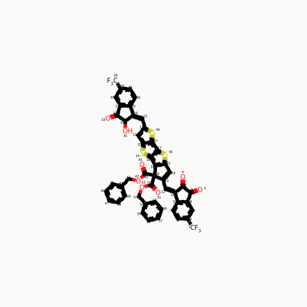 O=C1C(=O)c2cc(C(F)(F)F)ccc2/C1=C/C1=Cc2sc3c(sc4cc(/C=C5/c6ccc(C(F)(F)F)cc6C(=O)C5O)sc43)c2C1(C(=O)OCc1ccccc1)C(=O)OCc1ccccc1